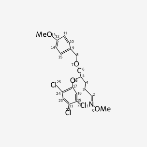 CON=CCCC(COCc1ccc(OC)cc1)Oc1cc(Cl)c(Cl)cc1Cl